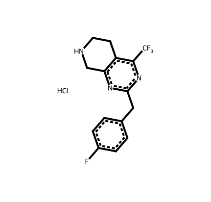 Cl.Fc1ccc(Cc2nc3c(c(C(F)(F)F)n2)CCNC3)cc1